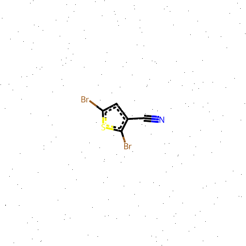 N#Cc1cc(Br)sc1Br